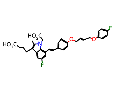 Cc1c(CCCC(=O)O)c2cc(F)cc(C=Cc3ccc(OC/C=C/COc4ccc(F)cc4)cc3)c2n1CC(=O)O